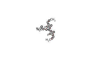 C=Cc1ccc(Oc2ccc(C3(c4ccc(F)cc4)c4ccccc4-c4ccc(CN(c5ccc(-c6ccc7c(c6)-c6ccccc6C7(C)C)cc5)c5ccc6c(c5)C(c5ccc(F)cc5)(c5ccc(Oc7ccc(C=C)cc7)cc5)c5ccccc5-6)cc43)cc2)cc1